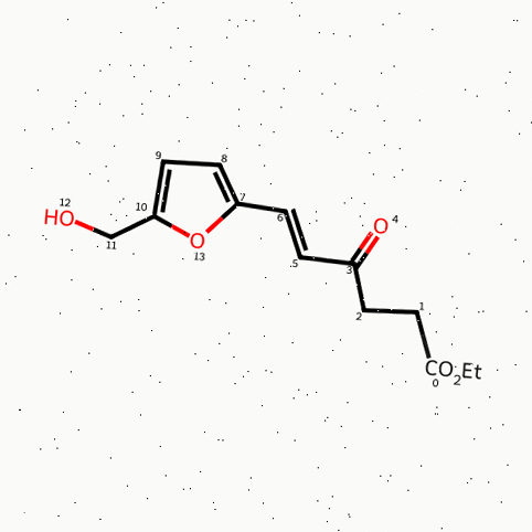 CCOC(=O)CCC(=O)C=Cc1ccc(CO)o1